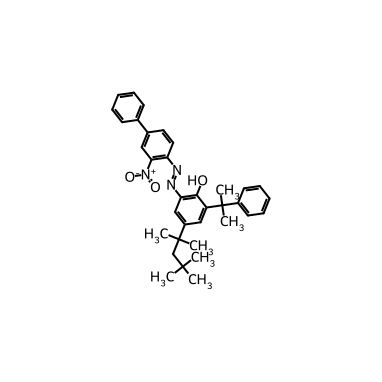 CC(C)(C)CC(C)(C)c1cc(/N=N/c2ccc(-c3ccccc3)cc2[N+](=O)[O-])c(O)c(C(C)(C)c2ccccc2)c1